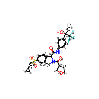 CC(O)(c1ccc(NC(=O)C2c3ccc(S(=O)(=O)CC4CC4)cc3CN2C(=O)C2CCOC2)cc1)C(F)(F)F